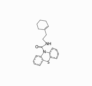 O=C(NCCC1=CCCCC1)N1c2ccccc2Sc2ccccc21